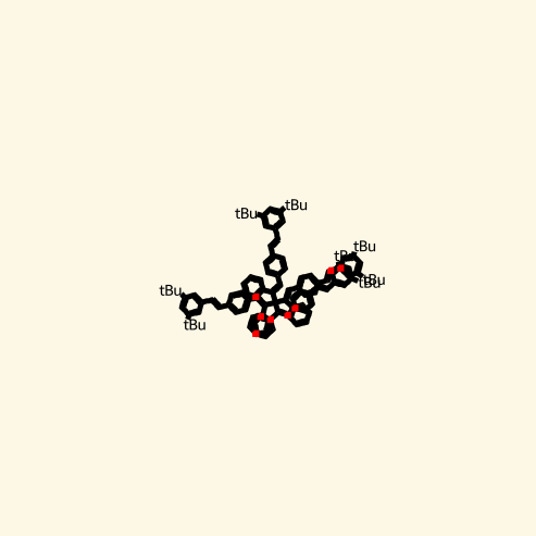 CC(C)(C)c1cc(C=Cc2ccc(C=C(c3ccccc3)C(C(=Cc3ccc(C=Cc4cc(C(C)(C)C)cc(C(C)(C)C)c4)cc3)c3ccccc3)(C(=Cc3ccc(C=Cc4cc(C(C)(C)C)cc(C(C)(C)C)c4)cc3)c3ccccc3)C(=Cc3ccc(C=Cc4cc(C(C)(C)C)cc(C(C)(C)C)c4)cc3)c3ccccc3)cc2)cc(C(C)(C)C)c1